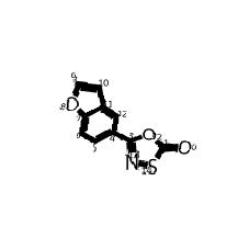 O=c1oc(-c2ccc3occc3c2)ns1